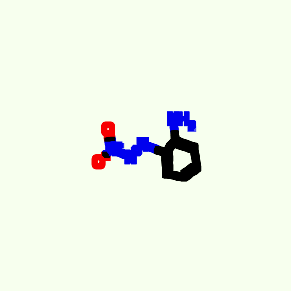 Nc1ccccc1/N=N/[N+](=O)[O-]